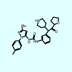 Cc1ccc(-n2nc(C(C)(C)C)cc2NC(=O)Nc2cccc(C(C(=O)C3CCCO3)C3CCNCC3)c2)cc1